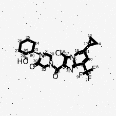 O=C(c1nc2c(C(F)(F)F)cc(C3CC3)cn2c1Cl)N1CCN([C@@H]2CCCC[C@H]2O)C(=O)C1